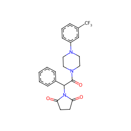 O=C(C(c1ccccc1)N1C(=O)CCC1=O)N1CCN(c2cccc(C(F)(F)F)c2)CC1